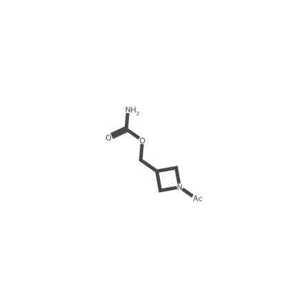 CC(=O)N1CC(COC(N)=O)C1